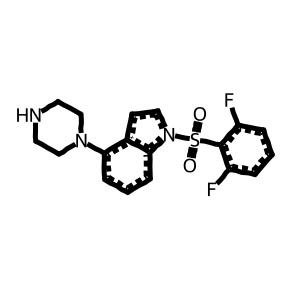 O=S(=O)(c1c(F)cccc1F)n1ccc2c(N3CCNCC3)cccc21